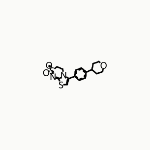 O=S1(=O)CCN2C(c3ccc(C4CCOCC4)cc3)=CSC2=N1